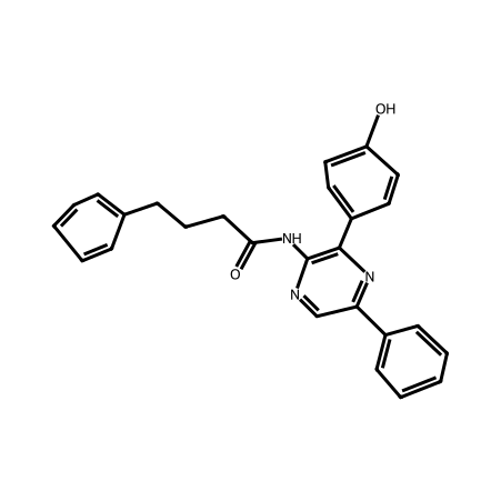 O=C(CCCc1ccccc1)Nc1ncc(-c2ccccc2)nc1-c1ccc(O)cc1